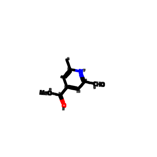 COC(=O)c1cc(C)nc(C=O)c1